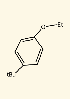 CCOc1[c]cc(C(C)(C)C)cc1